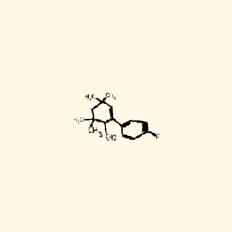 CC1(C)C=C(c2ccc(F)cc2)C(C=O)C(C)(C)C1